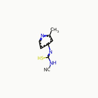 Cc1cc(/N=C(\S)NC#N)ccn1